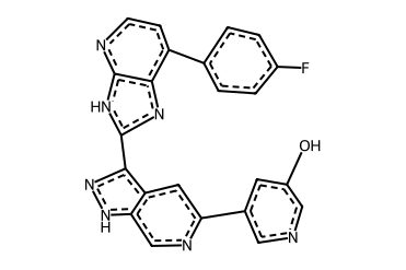 Oc1cncc(-c2cc3c(-c4nc5c(-c6ccc(F)cc6)ccnc5[nH]4)n[nH]c3cn2)c1